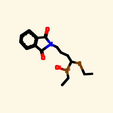 CCSC(CCCN1C(=O)c2ccccc2C1=O)[S+]([O-])CC